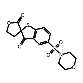 O=C1OCCC12Sc1ccc(S(=O)(=O)N3CCOCC3)cc1C2=O